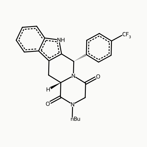 CCCCN1CC(=O)N2[C@@H](c3ccc(C(F)(F)F)cc3)c3[nH]c4ccccc4c3C[C@H]2C1=O